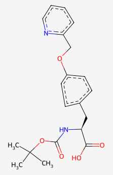 CC(C)(C)OC(=O)N[C@@H](Cc1ccc(OCc2ccccn2)cc1)C(=O)O